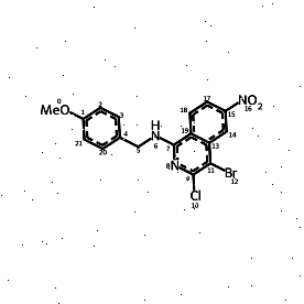 COc1ccc(CNc2nc(Cl)c(Br)c3cc([N+](=O)[O-])ccc23)cc1